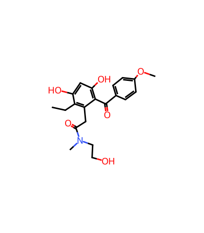 CCc1c(O)cc(O)c(C(=O)c2ccc(OC)cc2)c1CC(=O)N(C)CCO